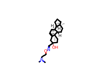 CN(C)CCON=C[C@]1(O)CC[C@@]2(C)C(=CC[C@H]3[C@@H]4CCC[C@@]4(C)CC[C@@H]32)C1